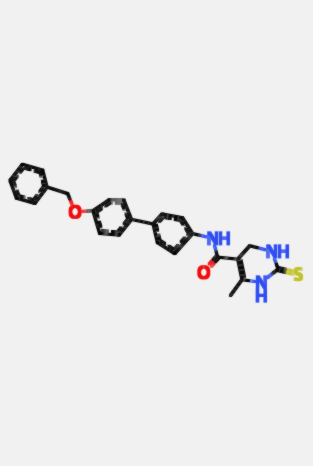 CC1=C(C(=O)Nc2ccc(-c3ccc(OCc4ccccc4)cc3)cc2)CNC(=S)N1